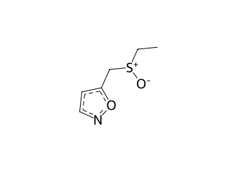 CC[S+]([O-])Cc1ccno1